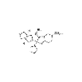 CCOC(=O)C1CCC(OC(C(=O)OC(C)(C)C)(N2CCCC2)N2C[C@H]3CSC[C@H]3C2)CC1